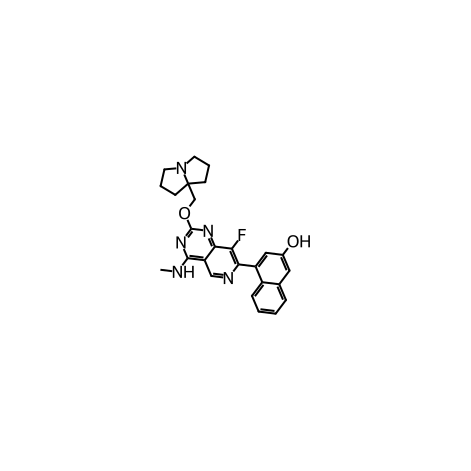 CNc1nc(OCC23CCCN2CCC3)nc2c(F)c(-c3cc(O)cc4ccccc34)ncc12